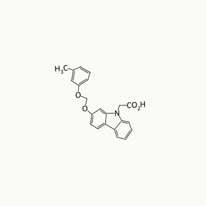 Cc1cccc(OCOc2ccc3c4ccccc4n(CC(=O)O)c3c2)c1